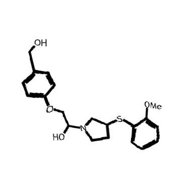 COc1ccccc1SC1CCN(C(O)COc2ccc(CO)cc2)C1